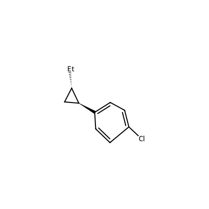 CC[C@H]1C[C@@H]1c1ccc(Cl)cc1